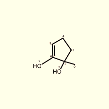 CC1(O)CCC=C1O